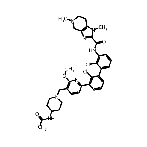 COc1nc(-c2cccc(-c3cccc(NC(=O)c4nc5c(n4C)CCN(C)C5)c3Cl)c2Cl)ccc1CN1CCC(NC(C)=O)CC1